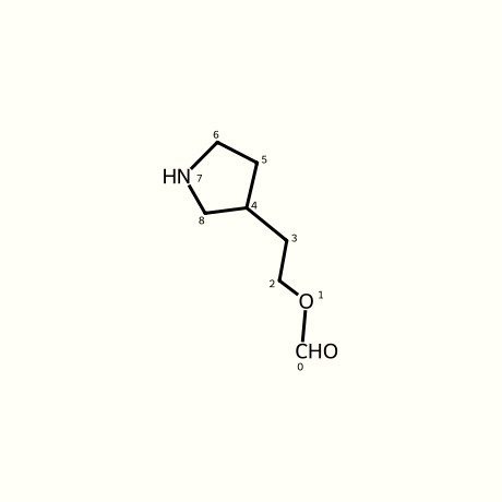 O=COCCC1CCNC1